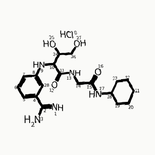 Cl.N=C(N)c1cccc(NC(C(=O)NCC(=O)NC2CCCCC2)C(O)CO)c1